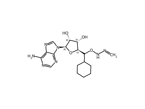 C=NNOC(C1CCCCC1)[C@H]1O[C@@H](n2cnc3c(N)ncnc32)[C@H](O)[C@@H]1O